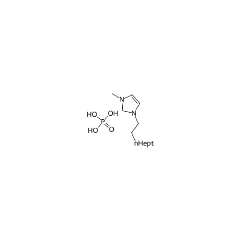 CCCCCCCCCN1C=CN(C)C1.O=P(O)(O)O